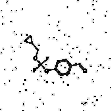 O=Cc1ccc(OC(F)(F)OCC2CC2)cc1